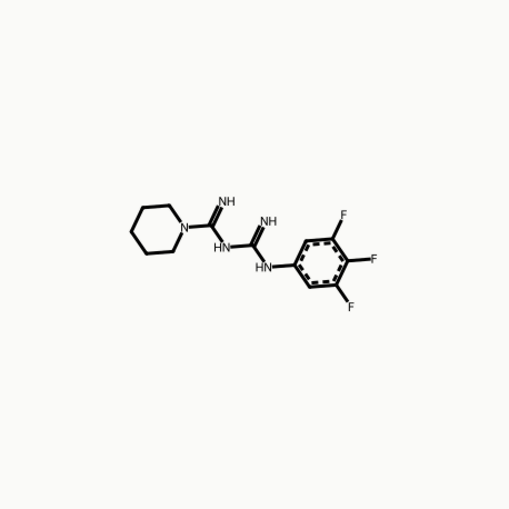 N=C(NC(=N)N1CCCCC1)Nc1cc(F)c(F)c(F)c1